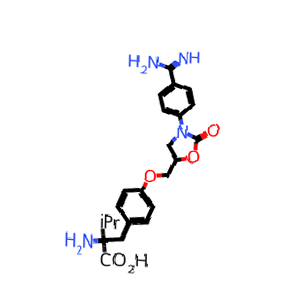 CC(C)C(N)(Cc1ccc(OCC2CN(c3ccc(C(=N)N)cc3)C(=O)O2)cc1)C(=O)O